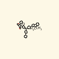 CC1(C)c2ccccc2-c2ccc(-c3ccc(N(c4ccc(-c5ccccc5)cc4)c4ccc5c(c4)Oc4ccccc4C54c5ccccc5-c5ccccc54)cc3)cc21